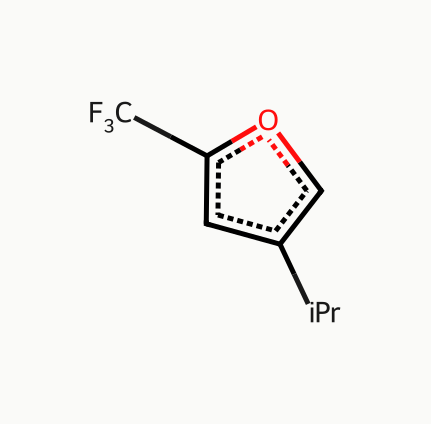 CC(C)c1coc(C(F)(F)F)c1